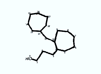 OCCCC1CCCCCC1CC1CCCCCC1